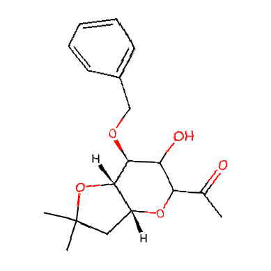 CC(=O)C1O[C@@H]2CC(C)(C)O[C@@H]2[C@@H](OCc2ccccc2)C1O